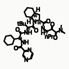 CCC[C@H](NC(=O)[C@@H]1C[C@@H]2CCCC[C@@H]2N1C(=O)[C@@H](NC(=O)[C@@H](NC(=O)c1cnccn1)C1CCCCC1)C(C)(C)C)C(=O)C(=O)N(C)C